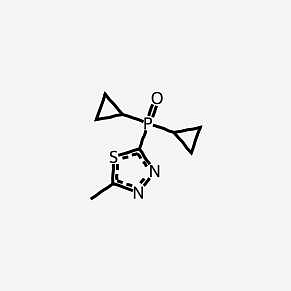 Cc1nnc(P(=O)(C2CC2)C2CC2)s1